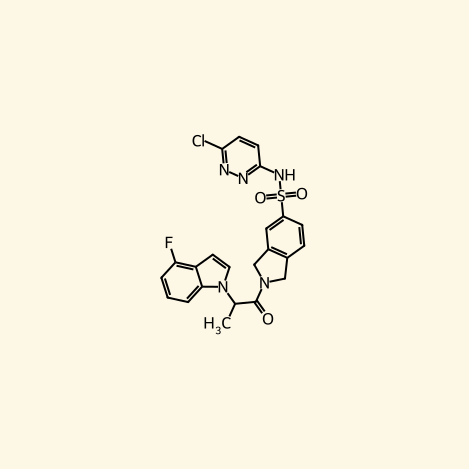 CC(C(=O)N1Cc2ccc(S(=O)(=O)Nc3ccc(Cl)nn3)cc2C1)n1ccc2c(F)cccc21